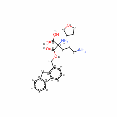 C1CCOC1.NCCCC(N)(C(=O)O)C(=O)OCc1cccc2c1Cc1ccccc1-2